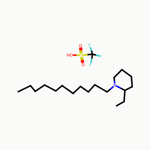 CCCCCCCCCCCN1CCCCC1CC.O=S(=O)(O)C(F)(F)F